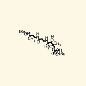 C/C(CCNC(=O)CCNC(=O)[C@@H](O)C(C)(C)COP(=O)(O)OC(C)(C)C)=N\OC(C)(C)C